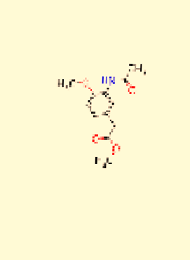 COC(=O)Cc1ccc(OC)c(NC(C)=O)c1